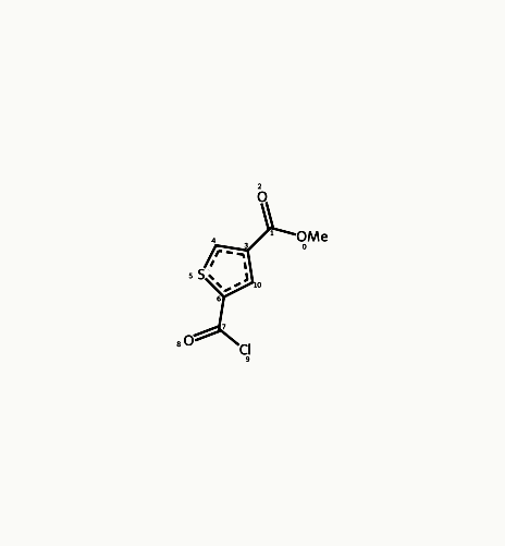 COC(=O)c1csc(C(=O)Cl)c1